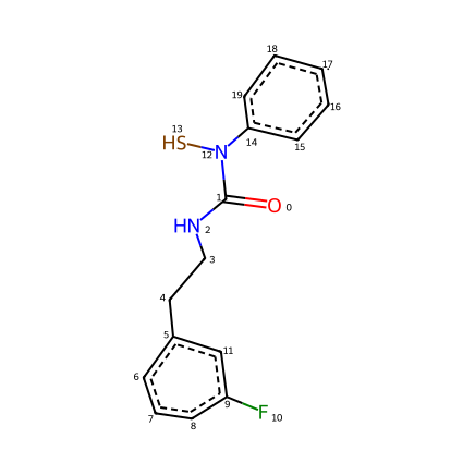 O=C(NCCc1cccc(F)c1)N(S)c1cc[c]cc1